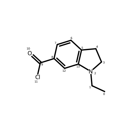 CCN1CCc2ccc(C(=O)Cl)cc21